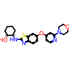 O[C@@H]1CCCC[C@H]1Nc1nc2ccc(Oc3ccnc(N4CCOCC4)c3)cc2s1